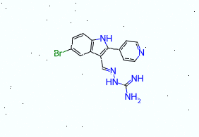 N=C(N)N/N=C/c1c(-c2ccncc2)[nH]c2ccc(Br)cc12